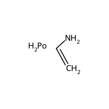 C=CN.[PoH2]